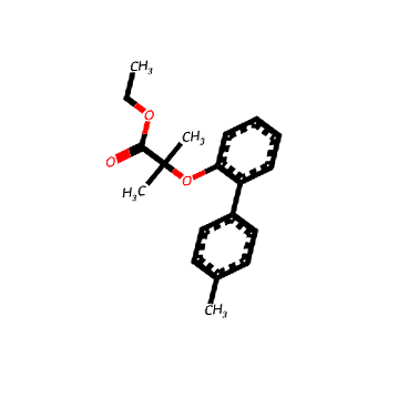 CCOC(=O)C(C)(C)Oc1ccccc1-c1ccc(C)cc1